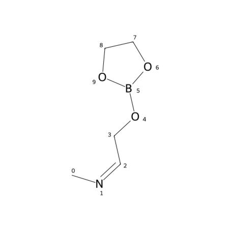 C/N=C\COB1OCCO1